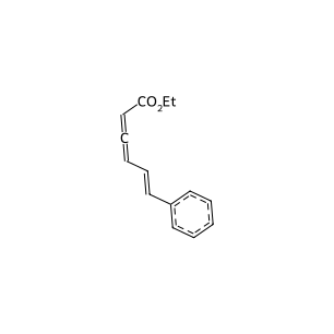 CCOC(=O)C=C=CC=Cc1ccccc1